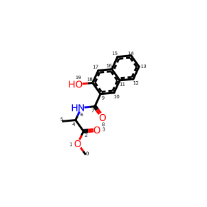 COC(=O)C(C)NC(=O)c1cc2ccccc2cc1O